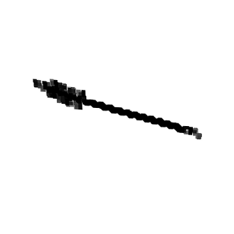 CCCCCCCCCCCCCCCCCCCCCCCCNNNNNNNC(=N)N